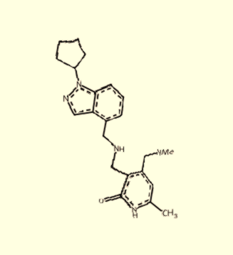 CNCc1cc(C)[nH]c(=O)c1CNCc1cccc2c1cnn2C1CCCC1